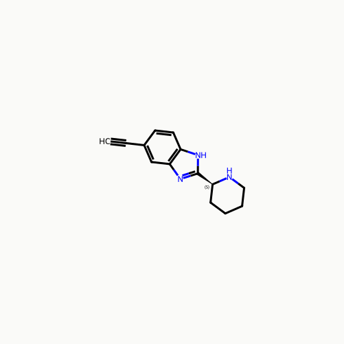 C#Cc1ccc2[nH]c([C@@H]3CCCCN3)nc2c1